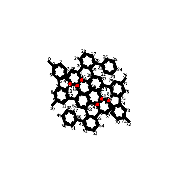 Cc1ccc2c(c1)-c1cc(C)cc3c1B2c1cc2c(-c4c(-c5ccccc5)cccc4-c4ccccc4)cc4c5c(cc6c(-c7c(-c8ccccc8)cccc7-c7ccccc7)cc-3c1c6c25)B1c2ccc(C)cc2-c2cc(C)cc-4c21